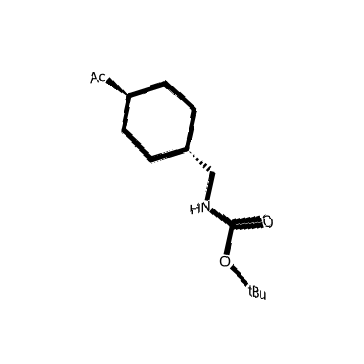 CC(=O)[C@H]1CC[C@H](CNC(=O)OC(C)(C)C)CC1